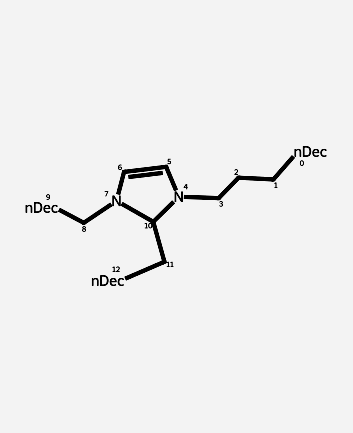 CCCCCCCCCCCCCN1C=CN(CCCCCCCCCCC)C1CCCCCCCCCCC